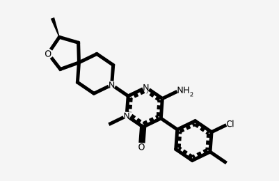 Cc1ccc(-c2c(N)nc(N3CCC4(CC3)CO[C@@H](C)C4)n(C)c2=O)cc1Cl